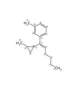 CCCC/C=C(/c1cccc(C)c1)P1CC1C